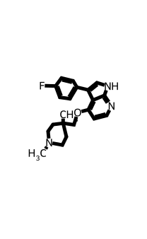 CN1CCC(C)(COc2ccnc3[nH]cc(-c4ccc(F)cc4)c23)CC1